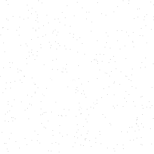 Cc1c(N2CCCCC2=O)nc2cc(F)cc(F)c2c1Nc1cc(N2CCOCC2)ncc1-c1cnc(NC(=O)O)nc1